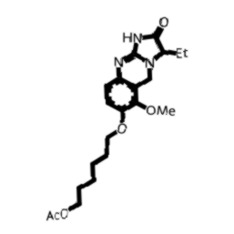 CCC1C(=O)NC2=Nc3ccc(OCCCCCCOC(C)=O)c(OC)c3CN21